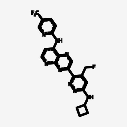 FCc1cc(NC2CCC2)nnc1-c1cnc2c(Nc3ccc(C(F)(F)F)cn3)ccnc2n1